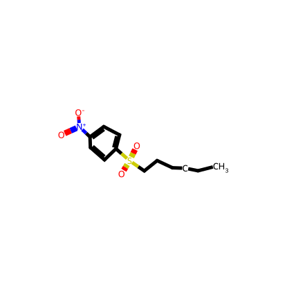 CCCCCCS(=O)(=O)c1ccc([N+](=O)[O-])cc1